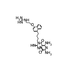 N=C(N)NCCCOc1ccc(CCCCN(C(=N)N)C(=O)c2nc(Cl)c(N)nc2N)c2ccccc12